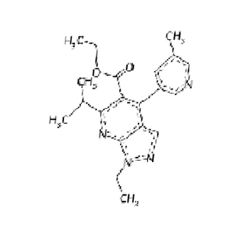 CCOC(=O)c1c(C(C)C)nc2c(cnn2CC)c1-c1cncc(C)c1